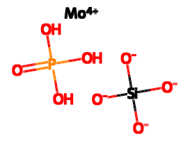 O=P(O)(O)O.[Mo+4].[O-][Si]([O-])([O-])[O-]